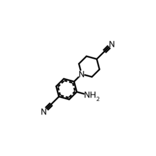 N#Cc1ccc(N2CCC(C#N)CC2)c(N)c1